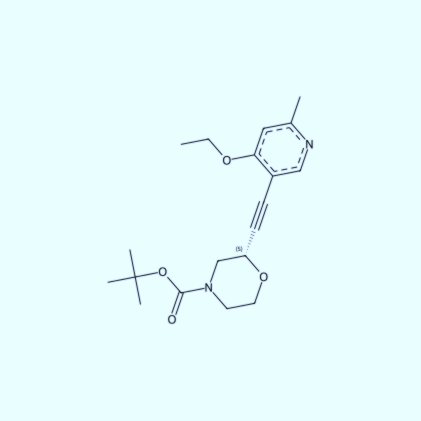 CCOc1cc(C)ncc1C#C[C@H]1CN(C(=O)OC(C)(C)C)CCO1